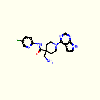 NCC1(C(=O)Nc2ccc(F)cn2)CCN(c2ncnc3[nH]ccc23)CC1